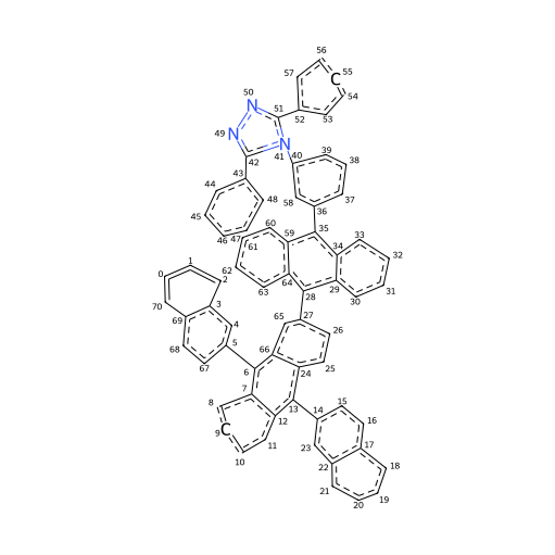 C1=C=Cc2cc(-c3c4ccccc4c(-c4ccc5ccccc5c4)c4ccc(-c5c6ccccc6c(-c6cccc(-n7c(-c8ccccc8)nnc7-c7ccccc7)c6)c6ccccc56)cc34)ccc2C=1